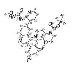 CONC(=O)Nc1ncccc1-c1ccc2ncc(-c3cc(F)cc(F)c3)c(N3CCC4C(C3)OCCN4C(=O)OC(C)(C)C)c2c1